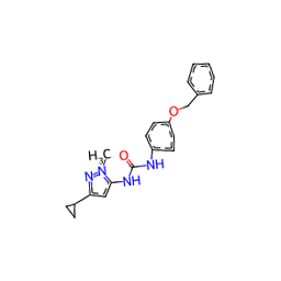 Cn1nc(C2CC2)cc1NC(=O)Nc1ccc(OCc2ccccc2)cc1